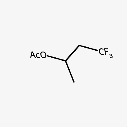 CC(=O)OC(C)CC(F)(F)F